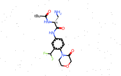 CC(C)(C)C(=O)N[C@H](CN)C(=O)Nc1ccc(N2CCOCC2=O)c(C(F)F)c1